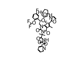 Cc1c(-c2ncco2)sc2c1c(=O)n(C(C)(C)C(=O)NS(=O)(=O)c1ccccn1)c(=O)n2C[C@H](O[C@@H]1C[C@H]2CC[C@@H](C1)O2)c1cc(F)ccc1OC(F)F